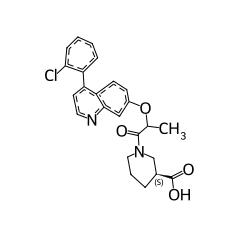 CC(Oc1ccc2c(-c3ccccc3Cl)ccnc2c1)C(=O)N1CCC[C@H](C(=O)O)C1